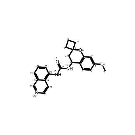 COc1ccc2c(c1)OC1(CCC1)CC2NC(=O)Nc1cccc2cnccc12